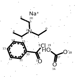 CCN(CC)CC.O=C(Cl)c1ccccc1.O=C([O-])O.[Na+]